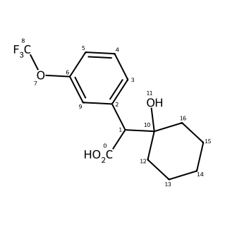 O=C(O)C(c1cccc(OC(F)(F)F)c1)C1(O)CCCCC1